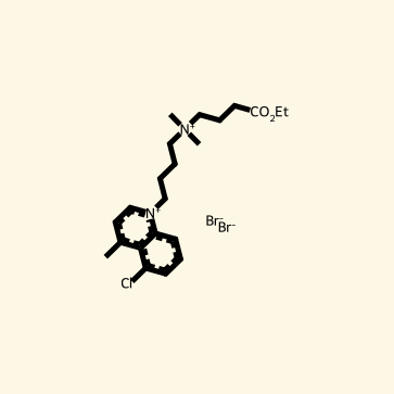 CCOC(=O)CCC[N+](C)(C)CCCC[n+]1ccc(C)c2c(Cl)cccc21.[Br-].[Br-]